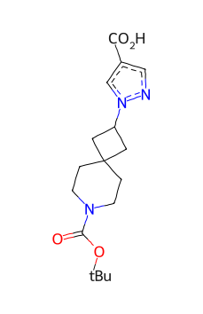 CC(C)(C)OC(=O)N1CCC2(CC1)CC(n1cc(C(=O)O)cn1)C2